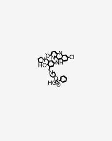 COc1ccc2nc3cc(Cl)ccc3c(Nc3cc(CN4CCCC4)c(O)c(CN4CCCC4)c3)c2n1.O=S(=O)(O)c1ccccc1